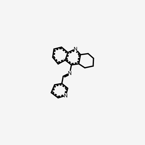 C(=Nc1c2c(nc3ccccc13)CCCC2)c1cccnc1